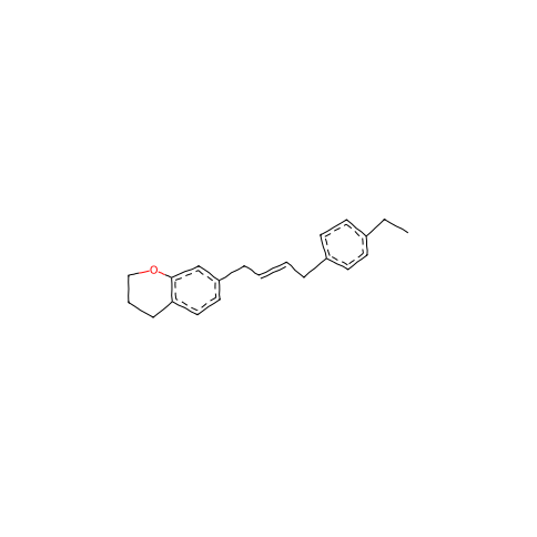 CCc1ccc(C/C=C/Cc2ccc3c(c2)OCCC3)cc1